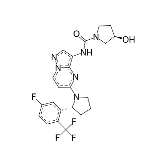 O=C(Nc1cnn2ccc(N3CCC[C@@H]3c3cc(F)ccc3C(F)(F)F)nc12)N1CC[C@@H](O)C1